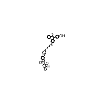 CCC(=C(c1ccc(O)cc1)c1ccc(SCCCCCN2CCN(c3ccc4c(c3)CN(C3CCC(=O)NC3=O)C4=O)CC2)cc1)c1ccccc1